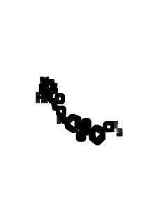 O=C(CON=C1CCN(S(=O)(=O)c2cccc(C(F)(F)F)c2)CC1)Nc1nncs1